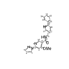 COc1cc(-n2cccn2)ncc1C(=O)NCc1ccc(-c2ccccc2)nc1